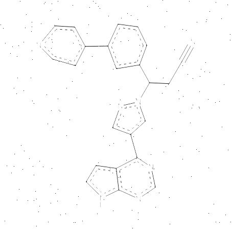 N#CCC(c1cccc(-c2ccncc2)c1)n1cc(-c2ncnc3[nH]ccc23)cn1